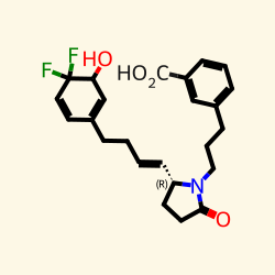 O=C(O)c1cccc(CCCN2C(=O)CC[C@@H]2C=CCCC2=CC(O)C(F)(F)C=C2)c1